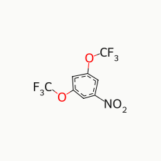 O=[N+]([O-])c1cc(OC(F)(F)F)cc(OC(F)(F)F)c1